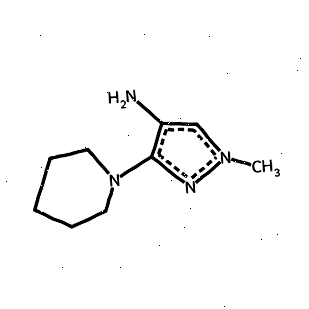 Cn1cc(N)c(N2CCCCC2)n1